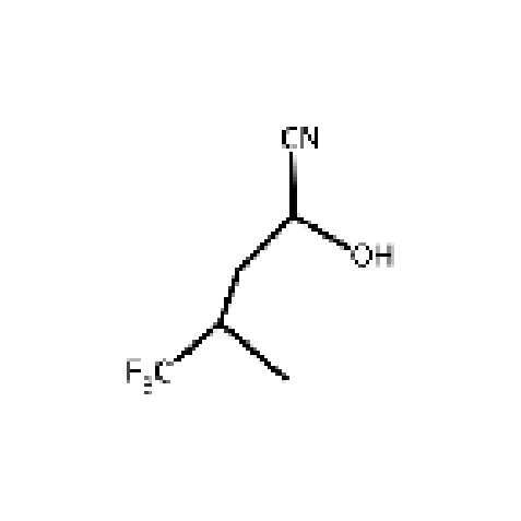 CC(CC(O)C#N)C(F)(F)F